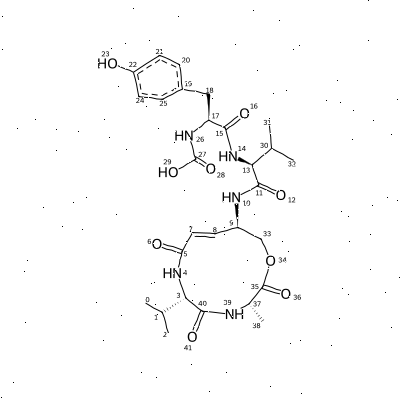 CC(C)[C@@H]1NC(=O)/C=C/[C@@H](NC(=O)[C@@H](NC(=O)[C@H](Cc2ccc(O)cc2)NC(=O)O)C(C)C)COC(=O)[C@H](C)NC1=O